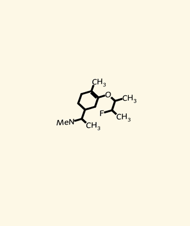 CNC(C)C1CCC(C)=C(OC(C)C(C)F)C1